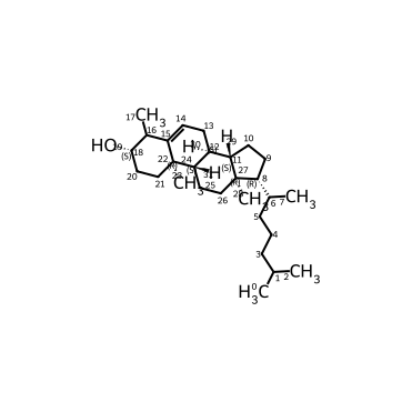 CC(C)CCCC(C)[C@H]1CC[C@H]2[C@@H]3CC=C4C(C)[C@@H](O)CC[C@]4(C)[C@H]3CC[C@]12C